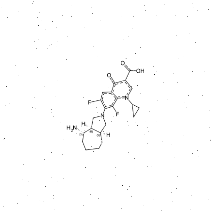 N[C@H]1CCCC[C@@H]2CN(c3c(F)cc4c(=O)c(C(=O)O)cn(C5CC5)c4c3F)C[C@@H]21